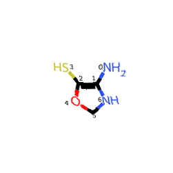 NC1=C(S)OCN1